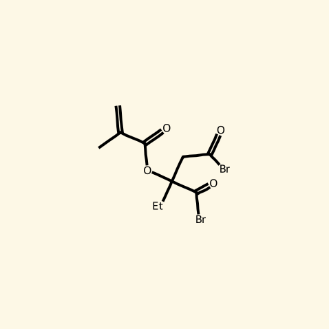 C=C(C)C(=O)OC(CC)(CC(=O)Br)C(=O)Br